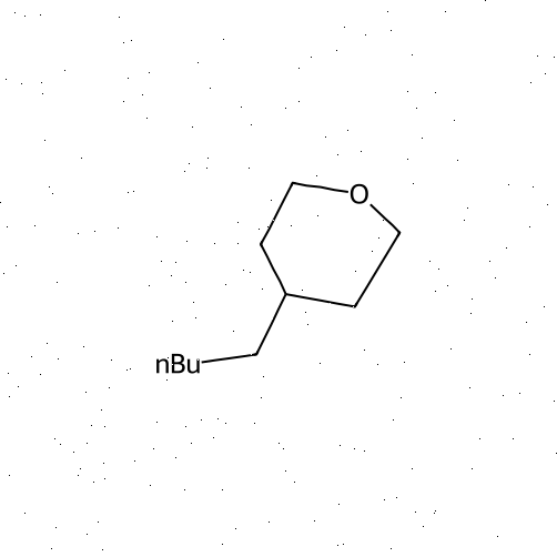 CCCCCC1CCOCC1